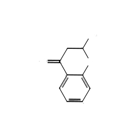 CC(C)(C)C1CC(=O)c2ccccc2O1